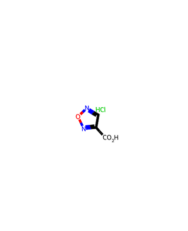 Cl.O=C(O)c1cnon1